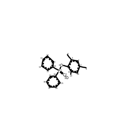 Cc1cc(C)c(OP(=C=O)(c2ccccc2)c2ccccc2)c(C)c1